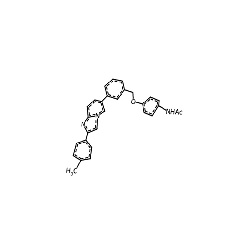 CC(=O)Nc1ccc(OCc2cccc(-c3ccc4nc(-c5ccc(C)cc5)cn4c3)c2)cc1